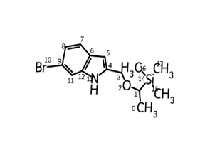 CC(OCc1cc2ccc(Br)cc2[nH]1)[Si](C)(C)C